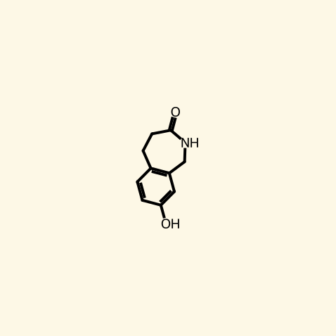 O=C1CCc2ccc(O)cc2CN1